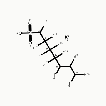 O=S(=O)([O-])C(F)C(F)(F)C(F)(F)C(F)(F)C(F)C(F)C(F)F.[K+]